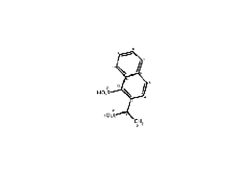 CCCCCCCCC(C)c1ccc2ccccc2c1S(=O)(=O)O